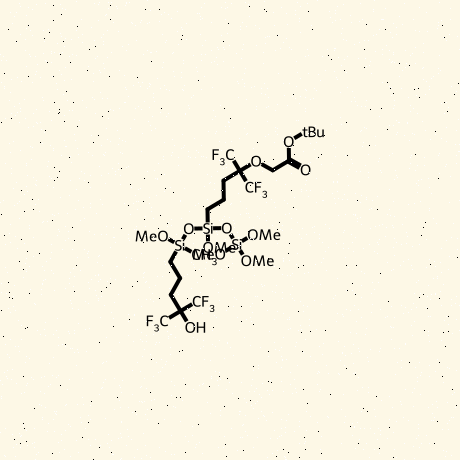 CO[Si](C)(CCCC(O)(C(F)(F)F)C(F)(F)F)O[Si](CCCC(OCC(=O)OC(C)(C)C)(C(F)(F)F)C(F)(F)F)(OC)O[Si](OC)(OC)OC